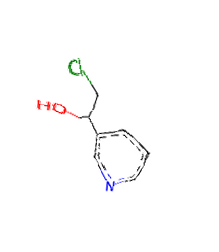 OC(CCl)c1cccnc1